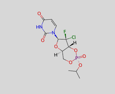 CC(C)O[P@]1(=O)OC[C@H]2O[C@@H](n3ccc(=O)[nH]c3=O)[C@](F)(Cl)[C@@H]2O1